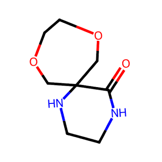 O=C1NCCNC12COCCOC2